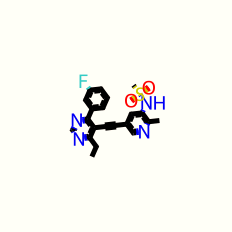 CCc1ncnc(-c2cccc(F)c2)c1C#Cc1cnc(C)c(NS(C)(=O)=O)c1